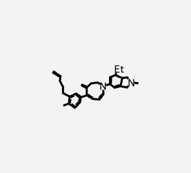 C=CCCCc1cc(/C2=C/C=C\N(C3=CC(CC)C4CN(C)CC4=C3)CCC2=C)ccc1C